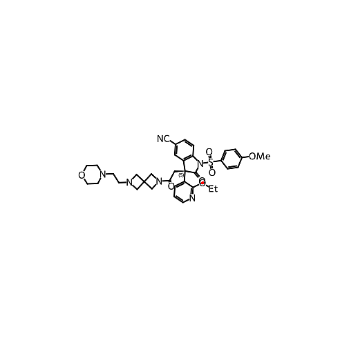 CCOc1ncccc1[C@@]1(CC(=O)N2CC3(CN(CCN4CCOCC4)C3)C2)C(=O)N(S(=O)(=O)c2ccc(OC)cc2)c2ccc(C#N)cc21